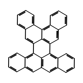 c1ccc2c(c1)cc1c3c(cc4ccccc4c23)c2c3ccccc3cc3cc4ccccc4c1c32